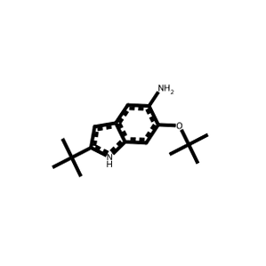 CC(C)(C)Oc1cc2[nH]c(C(C)(C)C)cc2cc1N